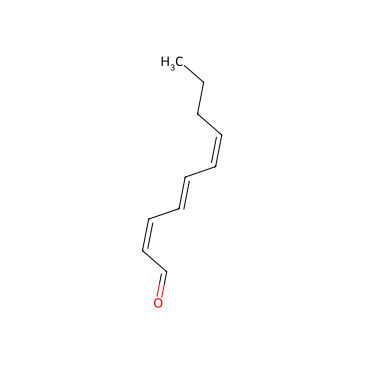 CCC\C=C/C=C/C=C\C=O